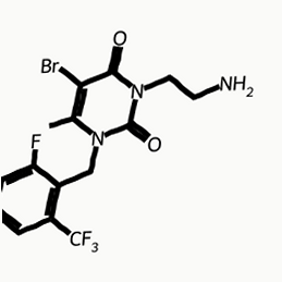 Cc1c(Br)c(=O)n(CCN)c(=O)n1Cc1c(F)cccc1C(F)(F)F